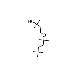 CC(C)(C)CCC(C)(C)OCCC(C)(C)O